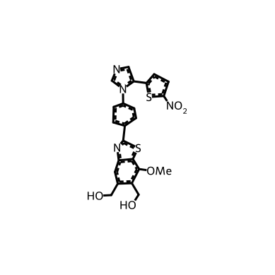 COc1c(CO)c(CO)cc2nc(-c3ccc(-n4cncc4-c4ccc([N+](=O)[O-])s4)cc3)sc12